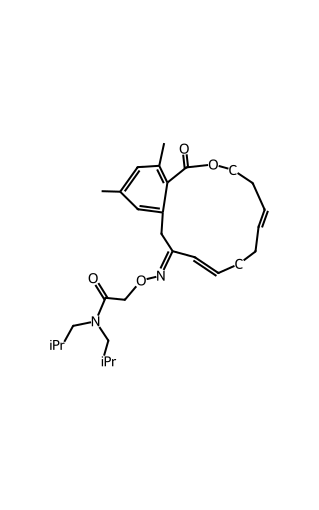 Cc1cc(C)c2c(c1)CC(=N\OCC(=O)N(CC(C)C)CC(C)C)/C=C/CC/C=C/CCOC2=O